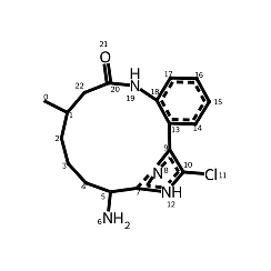 CC1CCCC(N)c2nc(c(Cl)[nH]2)-c2ccccc2NC(=O)C1